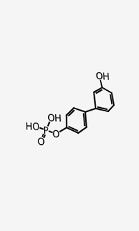 O=P(O)(O)Oc1ccc(-c2cccc(O)c2)cc1